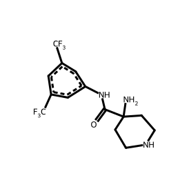 NC1(C(=O)Nc2cc(C(F)(F)F)cc(C(F)(F)F)c2)CCNCC1